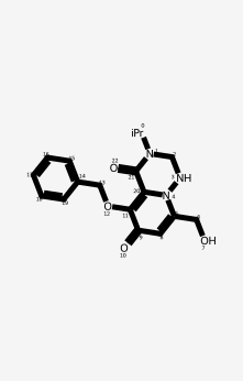 CC(C)N1CNn2c(CO)cc(=O)c(OCc3ccccc3)c2C1=O